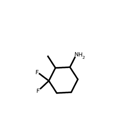 CC1C(N)CCCC1(F)F